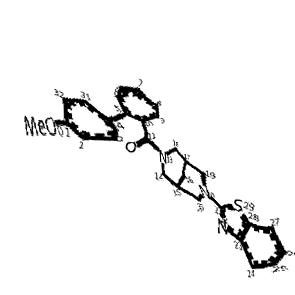 COc1ccc(-c2ccccc2C(=O)N2CC3CC(C2)CN(c2nc4ccccc4s2)C3)cc1